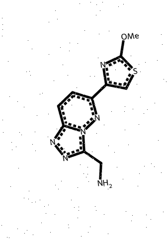 COc1nc(-c2ccc3nnc(CN)n3n2)cs1